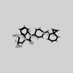 C[C@](O)(CO)Cn1c(=O)n(C2CCN(C[C@@H]3CCCCC34CC4)CC2)c2ccccc21